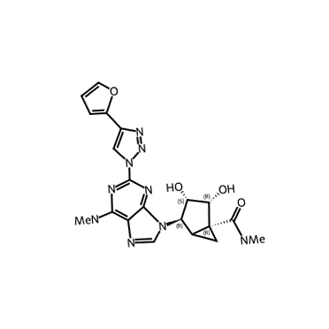 CNC(=O)[C@]12CC1[C@@H](n1cnc3c(NC)nc(-n4cc(-c5ccco5)nn4)nc31)[C@H](O)[C@@H]2O